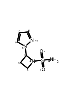 NS(=O)(=O)N1CCC1n1cccn1